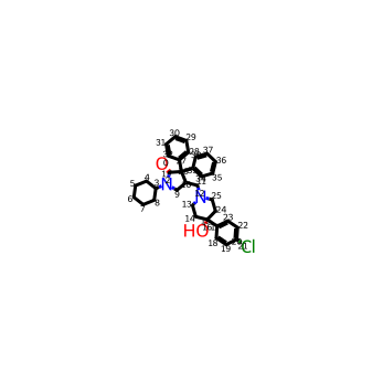 O=C1N(C2CCCCC2)CC(CN2CCC(O)(c3ccc(Cl)cc3)CC2)C1(c1ccccc1)c1ccccc1